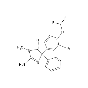 CC(C)c1cc(C2(c3ccccc3)N=C(N)N(C)C2=O)ccc1OC(F)F